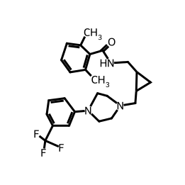 Cc1cccc(C)c1C(=O)NCC1CC1CN1CCN(c2cccc(C(F)(F)F)c2)CC1